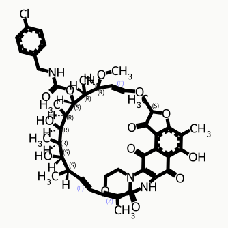 CO[C@H]1/C=C/O[C@@]2(C)Oc3c(C)c(O)c4c(c3C2=O)C(=O)C(N2CCOCC2)=C(NC(=O)/C(C)=C\C=C\[C@H](C)[C@H](O)[C@@H](C)[C@@H](O)[C@@H](C)[C@H](OC(=O)NCc2ccc(Cl)cc2)[C@@H]1C)C4=O